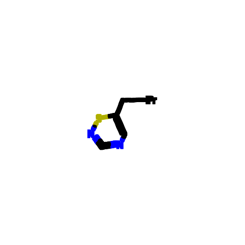 CC(C)CC1=CN=C=NS1